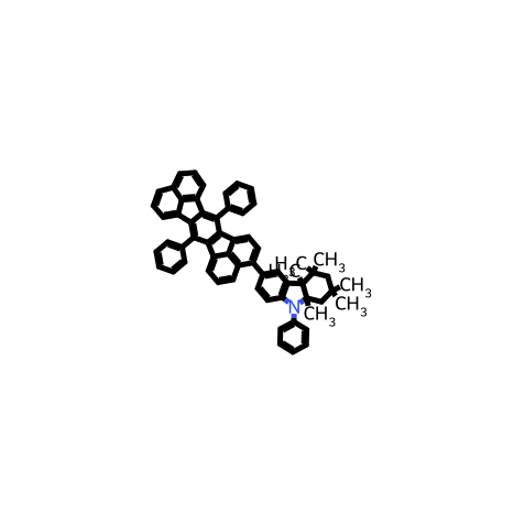 CC1(C)CC(C)(C)C2(C)c3cc(-c4ccc5c6c(-c7ccccc7)c7c8cccc9cccc(c7c(-c7ccccc7)c6c6cccc4c65)c98)ccc3N(c3ccccc3)C2(C)C1